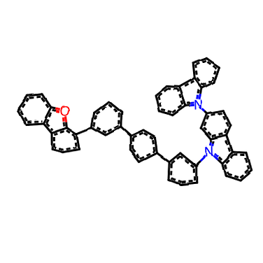 c1cc(-c2ccc(-c3cccc(-n4c5ccccc5c5ccc(-n6c7ccccc7c7ccccc76)cc54)c3)cc2)cc(-c2cccc3c2oc2ccccc23)c1